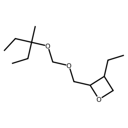 CCC1COC1COCOC(C)(CC)CC